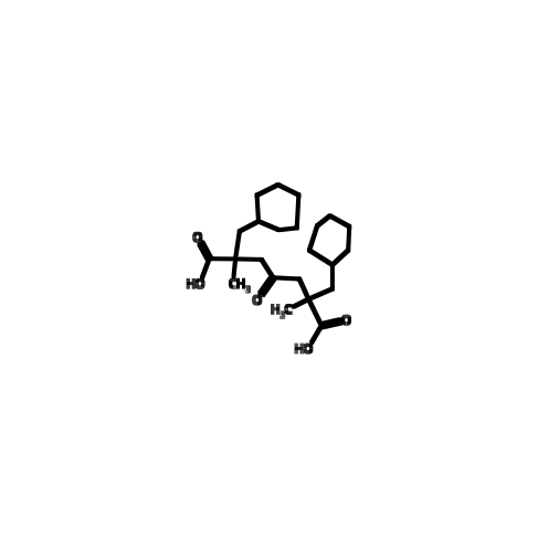 CC(CC(=O)CC(C)(CC1CCCCC1)C(=O)O)(CC1CCCCC1)C(=O)O